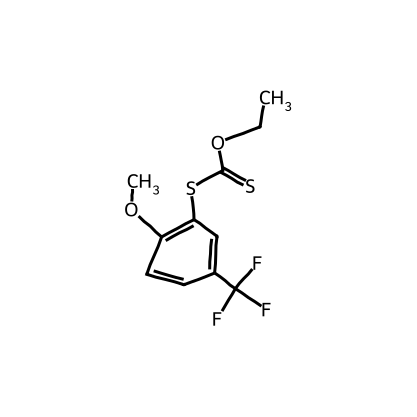 CCOC(=S)Sc1cc(C(F)(F)F)ccc1OC